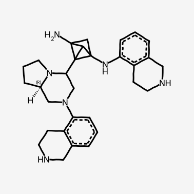 NC12CC(Nc3cccc4c3CCNC4)(C1)C2C1CN(c2cccc3c2CCNC3)C[C@H]2CCCN12